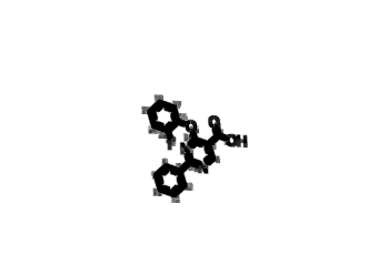 O=C(O)c1cnc(-c2ccccc2)nc1Oc1ccccc1F